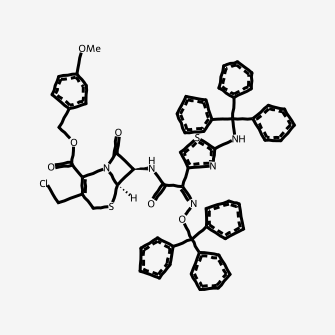 COc1ccc(COC(=O)C2=C(CCl)CS[C@@H]3[C@H](NC(=O)/C(=N\OC(c4ccccc4)(c4ccccc4)c4ccccc4)c4csc(NC(c5ccccc5)(c5ccccc5)c5ccccc5)n4)C(=O)N23)cc1